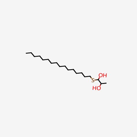 CCCCCCCCCCCCCCCCSC(O)C(C)O